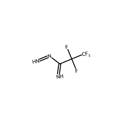 N=NC(=N)C(F)(F)C(F)(F)F